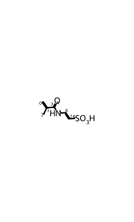 C=C(C)C(=O)NC=CS(=O)(=O)O